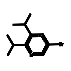 CC(C)c1cc(Br)cnc1C(C)C